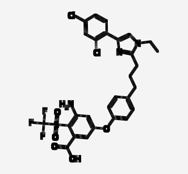 CCn1cc(-c2ccc(Cl)cc2Cl)nc1CCCc1ccc(Oc2cc(N)c(S(=O)(=O)C(F)(F)F)c(C(=O)O)c2)cc1